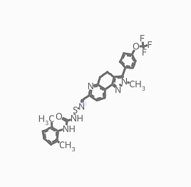 Cc1cccc(C)c1NC(=O)NS/N=C/c1ccc2c(n1)CCc1c-2nn(C)c1-c1ccc(OC(F)(F)F)cc1